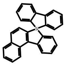 c1ccc2c(c1)-c1ccccc1[Si]21c2ccccc2-c2c1ccc1ccccc21